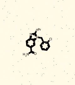 CCCc1nc2ccc(C(N)=O)cc2n1Cc1ccccc1Cl